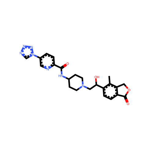 Cc1c(C(O)CN2CCC(NC(=O)c3ccc(-n4cnnn4)cn3)CC2)ccc2c1COC2=O